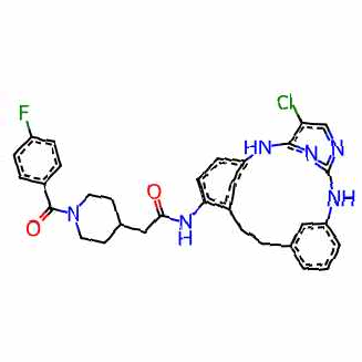 O=C(CC1CCN(C(=O)c2ccc(F)cc2)CC1)Nc1ccc2cc1CCc1cccc(c1)Nc1ncc(Cl)c(n1)N2